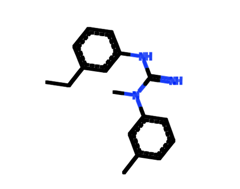 CCc1cccc(NC(=N)N(C)c2cccc(C)c2)c1